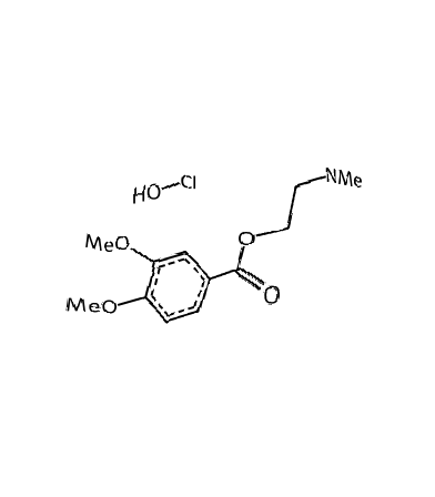 CNCCOC(=O)c1ccc(OC)c(OC)c1.OCl